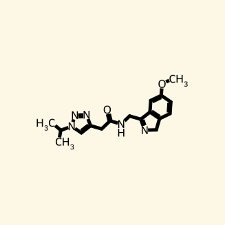 COc1ccc2c(c1)C(CNC(=O)Cc1cn(C(C)C)nn1)=NC2